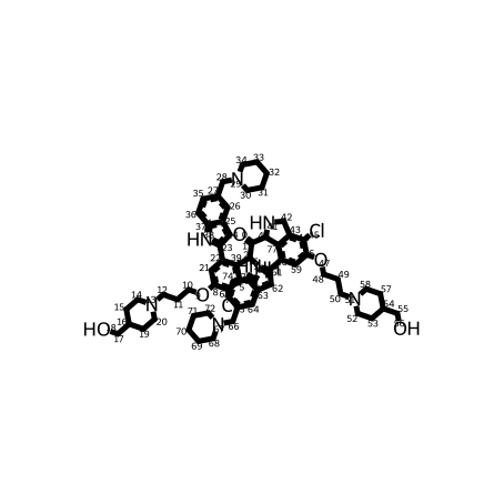 O=C(C1NCc2c(Cl)c(OCCCN3CCC(CO)CC3)cc(-c3cc4cc(CN5CCCCC5)ccc4[nH]3)c21)C1NCc2c(Cl)c(OCCCN3CCC(CO)CC3)cc(-c3cc4cc(CN5CCCCC5)ccc4[nH]3)c21